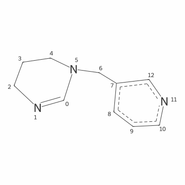 C1=NCCCN1Cc1cccnc1